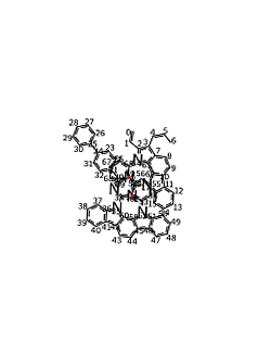 C=Cc1c(/C=C\C)c2ccc3c4ccccc4n(-c4nc(-c5ccc(-c6ccccc6)cc5)nc(-n5c6ccccc6c6ccc7c8ccccc8n(-c8ccccc8)c7c65)n4)c3c2n1-c1ccccc1